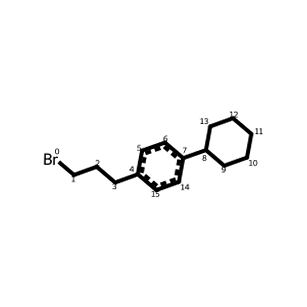 BrCCCc1ccc(C2CCCCC2)cc1